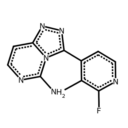 Cc1c(-c2nnc3ccnc(N)n23)ccnc1F